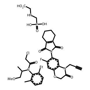 C#CCN1C(=O)COc2cc(F)c(N3C(=O)C4=C(CCCC4)C3=O)cc21.CCc1cccc(C)c1N(C(=O)CCl)C(C)COC.O=C(O)CNCP(=O)(O)O